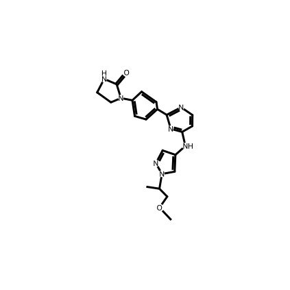 COCC(C)n1cc(Nc2ccnc(-c3ccc(N4CCNC4=O)cc3)n2)cn1